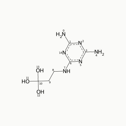 Nc1nc(N)nc(NCCC(O)(O)O)n1